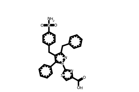 NS(=O)(=O)c1ccc(Cc2c(Cc3ccccc3)nn(-c3nc(C(=O)O)cs3)c2-c2ccccc2)cc1